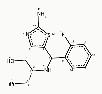 CC(C)C[C@H](CO)NC(c1cnc(N)s1)c1ccccc1F